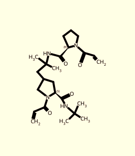 C=CC(=O)N1CCC[C@@H]1C(=O)NC(C)(C)CC1C[C@@H](C(=O)NC(C)(C)C)N(C(=O)C=C)C1